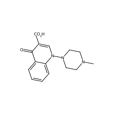 CN1CCN(n2cc(C(=O)O)c(=O)c3ccccc32)CC1